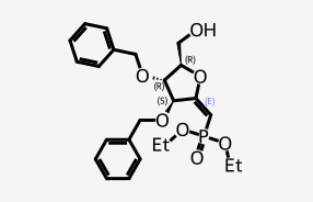 CCOP(=O)(/C=C1/O[C@H](CO)[C@@H](OCc2ccccc2)[C@@H]1OCc1ccccc1)OCC